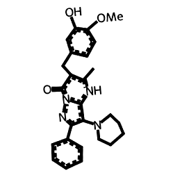 COc1ccc(Cc2c(C)[nH]c3c(N4CCCCC4)c(-c4ccccc4)nn3c2=O)cc1O